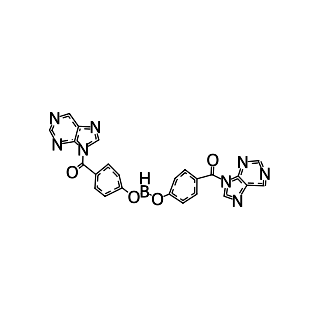 O=C(c1ccc(OBOc2ccc(C(=O)n3cnc4cncnc43)cc2)cc1)n1cnc2cncnc21